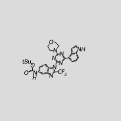 CC(C)(C)OC(=O)Nc1ccc2c(c1)nc(C(F)(F)F)n2-c1nc(-c2cccc3[nH]ccc23)nc(N2CCOCC2)n1